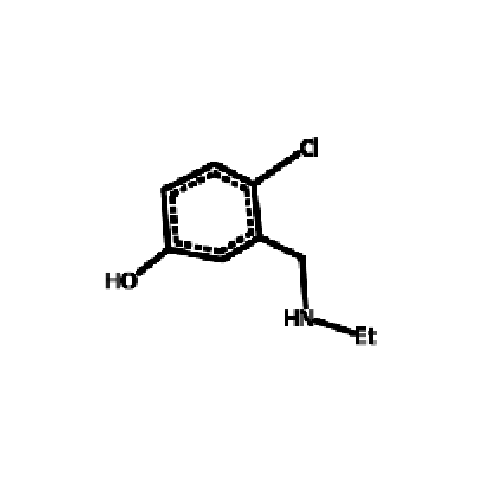 CCNCc1cc(O)ccc1Cl